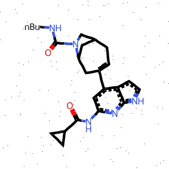 CCCCNC(=O)N1CC2CC=C(c3cc(NC(=O)C4CC4)nc4[nH]ccc34)CC1C2